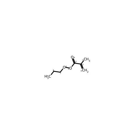 C=C(C)C(=O)OOCCC